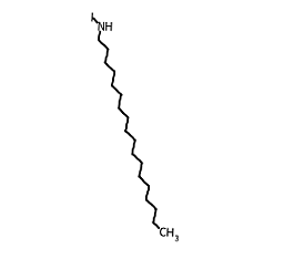 CCCCCCCCCCCCCCCCCCNI